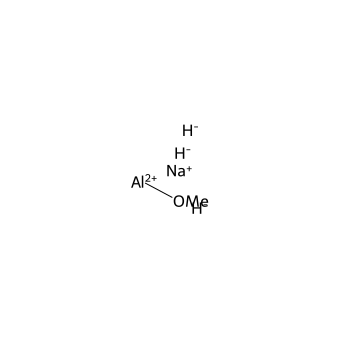 C[O][Al+2].[H-].[H-].[H-].[Na+]